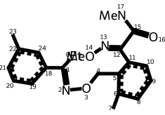 CC/C(=N\OCc1c(C)cccc1/C(=N\OC)C(=O)NC)c1cccc(C)c1